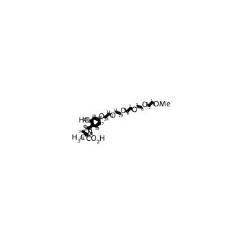 COCCOCCOCCOCCOCCOc1ccc(C2=N[C@@](C)(C(=O)O)CS2)c(O)c1